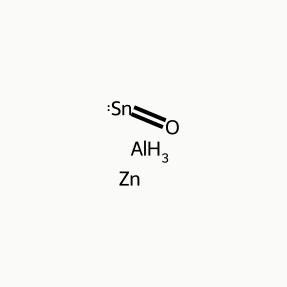 [AlH3].[O]=[Sn].[Zn]